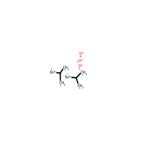 C[CH](C)[Sn+3].C[CH](C)[Sn+3].[O-2].[O-2].[O-2]